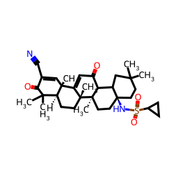 CC1(C)CC[C@]2(NS(=O)(=O)C3CC3)CC[C@]3(C)C(C(=O)C=C4[C@@]5(C)C=C(C#N)C(=O)C(C)(C)[C@@H]5CC[C@]43C)C2C1